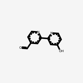 O=Cc1ccnc(-c2cc(O)ccn2)c1